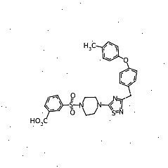 Cc1ccc(Oc2ccc(Cc3nsc(N4CCN(S(=O)(=O)c5cccc(C(=O)O)c5)CC4)n3)cc2)cc1